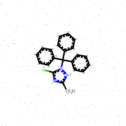 CCOC(=O)c1nc(Cl)n(C(c2ccccc2)(c2ccccc2)c2ccccc2)n1